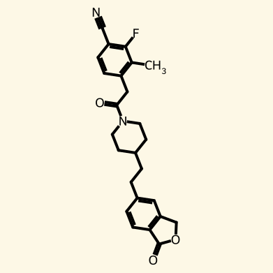 Cc1c(CC(=O)N2CCC(CCc3ccc4c(c3)COC4=O)CC2)ccc(C#N)c1F